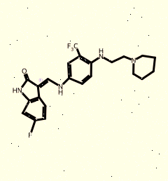 O=C1Nc2cc(F)ccc2/C1=C\Nc1ccc(NCCN2CCCCC2)c(C(F)(F)F)c1